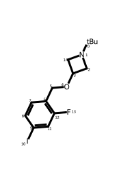 CC(C)(C)N1CC(OCc2ccc(I)cc2F)C1